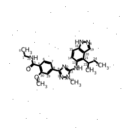 CCNC(=O)c1ccc(-c2nc(Nc3ccc4[nH]ncc4c3C(C)CC)n(C)n2)cc1OC